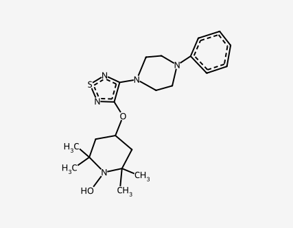 CC1(C)CC(Oc2nsnc2N2CCN(c3ccccc3)CC2)CC(C)(C)N1O